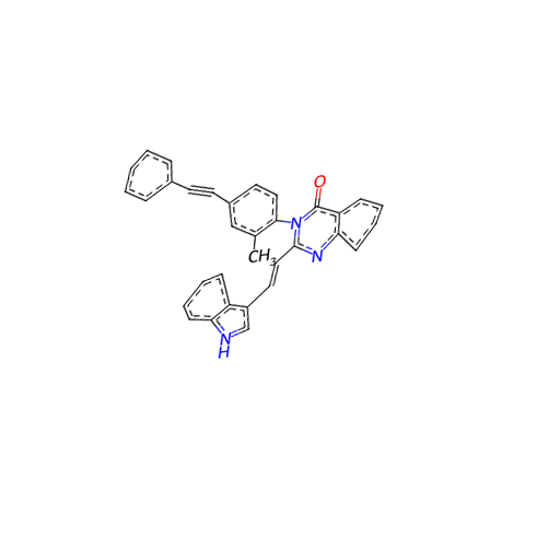 Cc1cc(C#Cc2ccccc2)ccc1-n1c(C=Cc2c[nH]c3ccccc23)nc2ccccc2c1=O